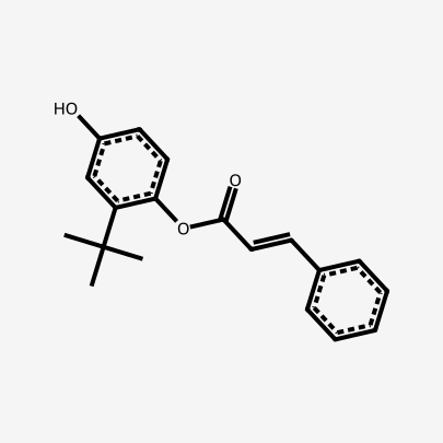 CC(C)(C)c1cc(O)ccc1OC(=O)C=Cc1ccccc1